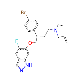 C=CCN(CC)CC=C(COc1cc2[nH]ncc2cc1F)c1ccc(Br)cc1